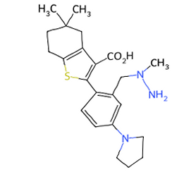 CN(N)Cc1cc(N2CCCC2)ccc1-c1sc2c(c1C(=O)O)CC(C)(C)CC2